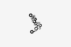 O=C1CCCN1C(c1nc2cnc3c(ccn3S(=O)(=O)c3ccccc3)c2[nH]1)C1CCN(Cc2ccccc2)CC1